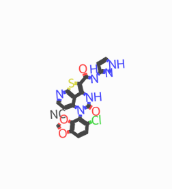 N#Cc1cnc2sc(C(=O)Nc3cc[nH]n3)c3c2c1N(c1c(Cl)ccc2c1OCO2)C(=O)N3